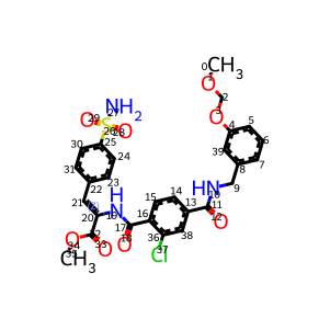 COCOc1cccc(CNC(=O)c2ccc(C(=O)N/C(=C\c3ccc(S(N)(=O)=O)cc3)C(=O)OC)c(Cl)c2)c1